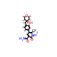 NC(=O)c1cc(-c2ccc(CC3(O)CCOCC3)cc2)c(C(F)(F)F)[nH]c1=O